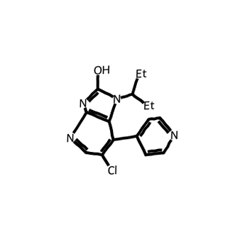 CCC(CC)n1c(O)nc2ncc(Cl)c(-c3ccncc3)c21